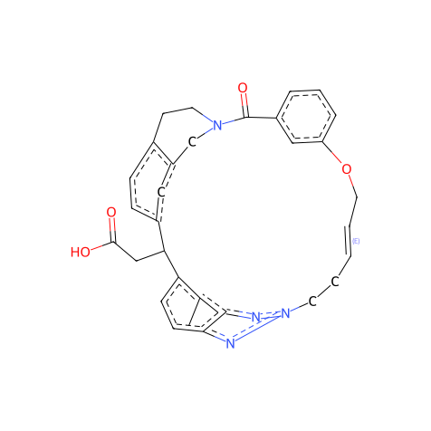 Cc1c2ccc3nn(nc13)CC/C=C/COc1cccc(c1)C(=O)N1CCc3ccc(cc3C1)C2CC(=O)O